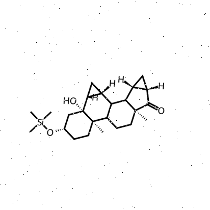 C[C@]12CCC3C(C1[C@@H]1C[C@@H]1C2=O)[C@H]1C[C@H]1[C@]1(O)C[C@@H](O[Si](C)(C)C)CC[C@]31C